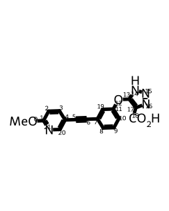 COc1ccc(C#Cc2cccc(Oc3[nH]nnc3C(=O)O)c2)cn1